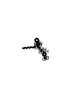 CCCCCCCCCO[C@@H]1[C@H]2OC3(CCCCC3)O[C@H]2O[C@@H]1[C@H](C)NC(=O)Nc1ccc([N+](=O)[O-])cc1